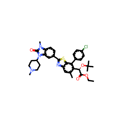 CCOC(=O)[C@@H](OC(C)(C)C)c1c(C)cc2nc(-c3ccc4c(c3)n(C3CCN(C)CC3)c(=O)n4C)sc2c1-c1ccc(Cl)cc1